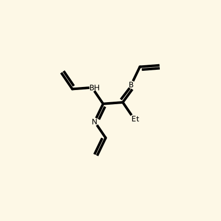 C=C/B=C(CC)\C(BC=C)=N/C=C